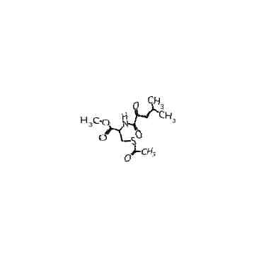 COC(=O)C(CSC(C)=O)NC(=O)C(=O)CC(C)C